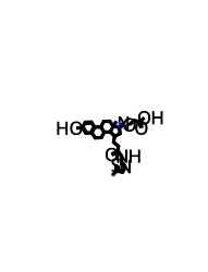 Cc1cnc(NC(=O)CCC2C/C(=N\OCC(=O)O)C3(C)CCC4c5ccc(O)cc5CCC4C23)s1